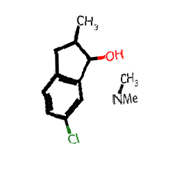 CC1Cc2ccc(Cl)cc2C1O.CNC